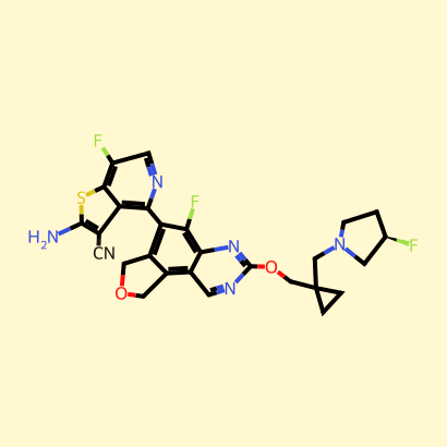 N#Cc1c(N)sc2c(F)cnc(-c3c4c(c5cnc(OCC6(CN7CC[C@@H](F)C7)CC6)nc5c3F)COC4)c12